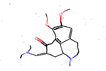 COc1cc2c3c(c1OC)C(=O)C(=CN(C)C)CC3N(C)CC2